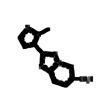 Cn1nccc1-c1nc2ccc(C(=O)O)cn2n1